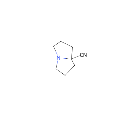 N#CC12CCCN1CCC2